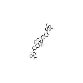 C=CC(=O)OC(CCC)c1ccc2cc(OC(=O)c3c(F)cc4cc(C(C)OC(=O)C(=C)C)ccc4c3F)ccc2c1